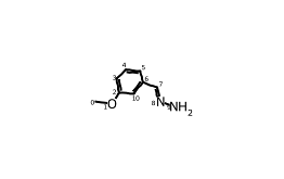 COc1cccc(/C=N/N)c1